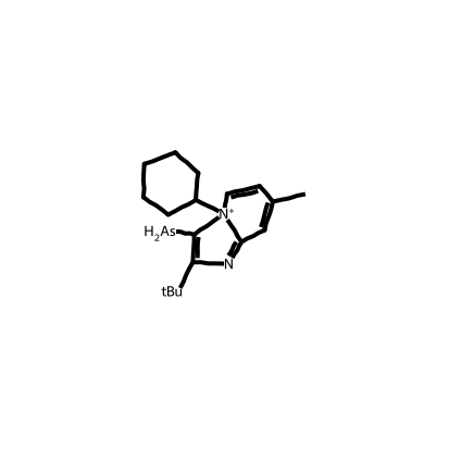 CC1=CC2=NC(C(C)(C)C)=C([AsH2])[N+]2(C2CCCCC2)C=C1